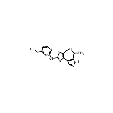 CCc1ccnc(Nc2nc3c(s2)COC(C)c2[nH]ncc2-3)n1